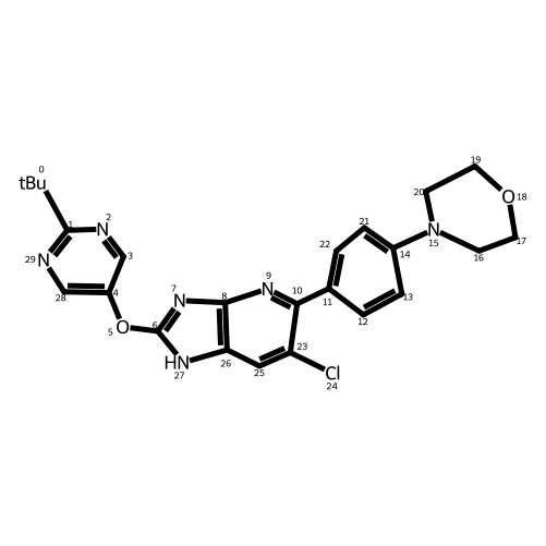 CC(C)(C)c1ncc(Oc2nc3nc(-c4ccc(N5CCOCC5)cc4)c(Cl)cc3[nH]2)cn1